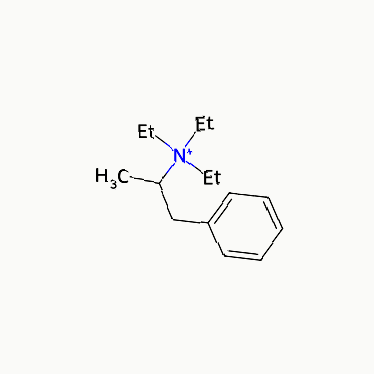 CC[N+](CC)(CC)C(C)Cc1ccccc1